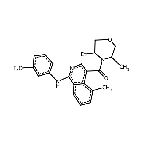 CCC1COCC(C)N1C(=O)c1cnc(Nc2cccc(C(F)(F)F)c2)c2cccc(C)c12